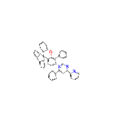 c1ccc(-c2cc(-c3ccccn3)nc(-c3ccccc3-c3cccc4c3Oc3ccccc3C43c4ccccc4-c4ccccc43)n2)cc1